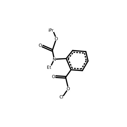 CCN(C(=O)OC(C)C)c1ccccc1C(=O)OCl